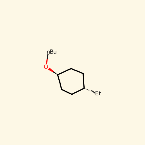 CCCCO[C@H]1CC[C@H](CC)CC1